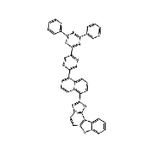 c1ccc(-c2nc(-c3ccccc3)nc(-c3cnc(-c4cccc5c(-c6nc7ccc8oc9ccccc9c8c7o6)cccc45)cn3)n2)cc1